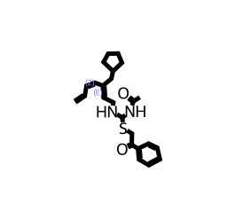 C=C/C=C\C(=C\CNC(NC(C)=O)SCC(=O)c1ccccc1)CC1CCCC1